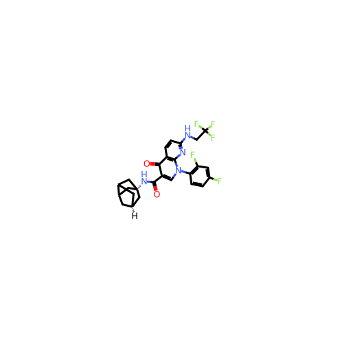 O=C(N[C@]12CC3C[C@@H](CC3C1)C2)c1cn(-c2ccc(F)cc2F)c2nc(NCC(F)(F)F)ccc2c1=O